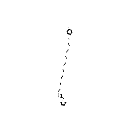 O=C(NCCOCCOCCOCCOCCOCCOCCOCCn1cc(CN2C(=O)C=CC2=O)nn1)Oc1ccc([N+](=O)[O-])cc1